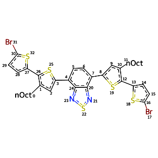 CCCCCCCCc1cc(-c2ccc(-c3cc(CCCCCCCC)c(-c4ccc(Br)s4)s3)c3nsnc23)sc1-c1ccc(Br)s1